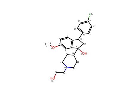 COc1ccc2c(c1)C(O)(C1CCN(CCO)CC1)CC2c1ccc(F)cc1